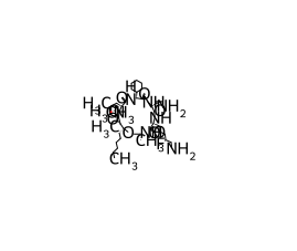 CCCCCC[C@H]1OC[C@@H](C)NC(=O)[C@H](COCC(F)CN)NC(=O)[C@H](CN)NC(=O)[C@H](C2CCCCC2)NC(=O)[C@H](CC(C)C)N(C)C(=O)[C@@H]1C